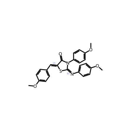 COc1ccc(/C=C2\S/C(=N/c3ccc(OC)cc3)N(c3ccc(OC)cc3)C2=O)cc1